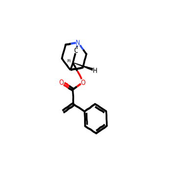 C=C(C(=O)O[C@H]1CN2CCC1CC2)c1ccccc1